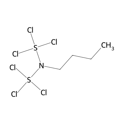 CCCCN(S(Cl)(Cl)Cl)S(Cl)(Cl)Cl